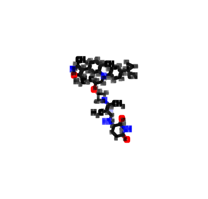 C/C(CNC1CCC(=O)NC1=O)=C(/C)N1CC(OC(C)CN(c2ccc(C3(C#N)CC3)cc2)c2cc(-c3c(C)noc3C)ccc2C)C1